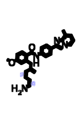 C=C(/C=C\C=C/N)Cc1cc(OC)ccc1C(=O)Nc1ccc(-c2cn3cccc(C)c3n2)cc1